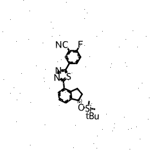 CC(C)(C)[Si](C)(C)O[C@H]1CCc2c(-c3nnc(-c4ccc(F)c(C#N)c4)s3)cccc21